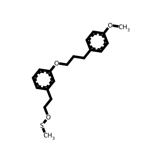 COc1ccc(CCCOc2cccc(CCOSC)c2)cc1